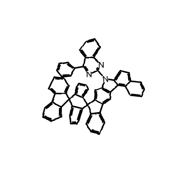 c1ccc(-c2nc(-n3c4cc5c(cc4c4c6ccccc6ccc43)-c3ccccc3C53c4ccccc4C4(c5ccccc5-c5ccccc54)c4ccccc43)nc3ccccc23)cc1